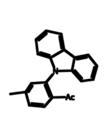 CC(=O)c1ccc(C)cc1-n1c2ccccc2c2ccccc21